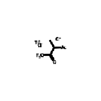 CC(=O)C(C)C(=O)C(F)(F)F.[Cl-].[Cl-].[Ti+2]